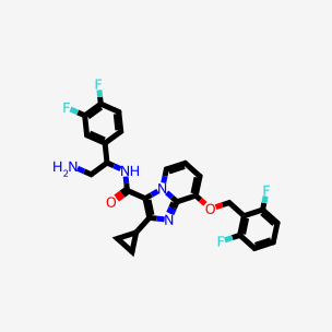 NCC(NC(=O)c1c(C2CC2)nc2c(OCc3c(F)cccc3F)cccn12)c1ccc(F)c(F)c1